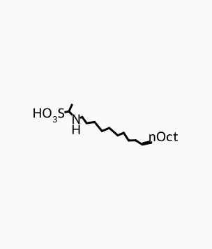 CCCCCCCC/C=C\CCCCCCCCCNC(C)S(=O)(=O)O